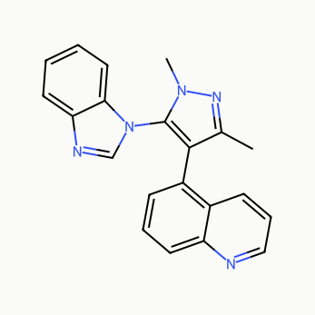 Cc1nn(C)c(-n2cnc3ccccc32)c1-c1cccc2ncccc12